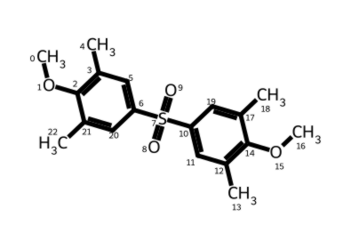 COc1c(C)cc(S(=O)(=O)c2cc(C)c(OC)c(C)c2)cc1C